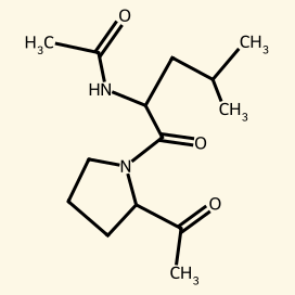 CC(=O)NC(CC(C)C)C(=O)N1CCCC1C(C)=O